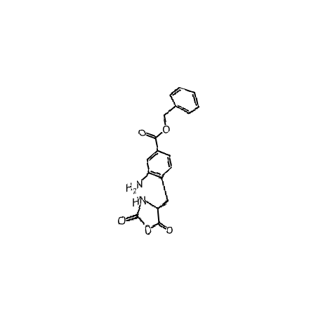 Nc1cc(C(=O)OCc2ccccc2)ccc1CC1NC(=O)OC1=O